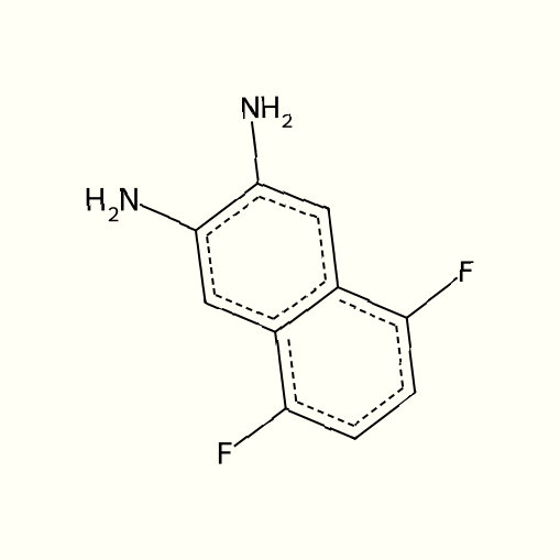 Nc1cc2c(F)ccc(F)c2cc1N